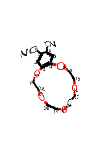 N#Cc1cc2c(cc1C#N)OCCOCCOCCOCCO2